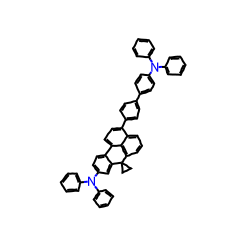 c1ccc(N(c2ccccc2)c2ccc(-c3ccc(-c4ccc5c6c(cccc46)C4(CC4)c4cc(N(c6ccccc6)c6ccccc6)ccc4-5)cc3)cc2)cc1